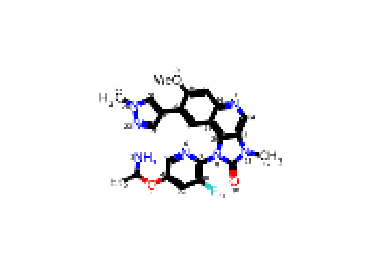 CCC(N)Oc1cnc(-n2c(=O)n(C)c3cnc4cc(OC)c(-c5cnn(C)c5)cc4c32)c(F)c1